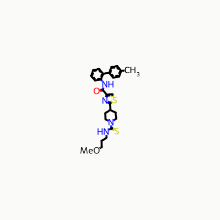 COCCCNC(=S)N1CCC(c2nc(C(=O)Nc3ccccc3-c3ccc(C)cc3)cs2)CC1